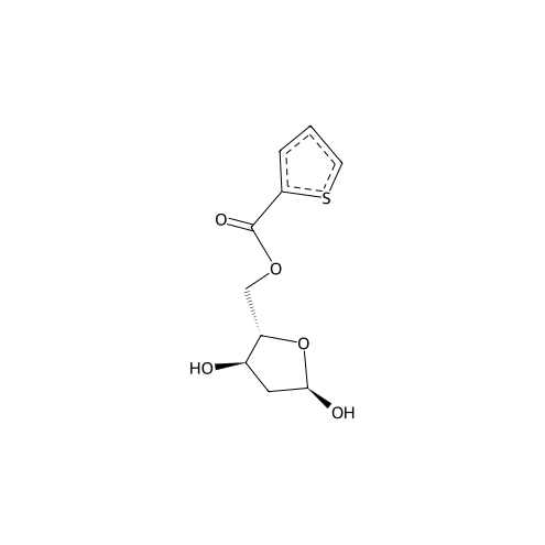 O=C(OC[C@@H]1O[C@@H](O)C[C@H]1O)c1cccs1